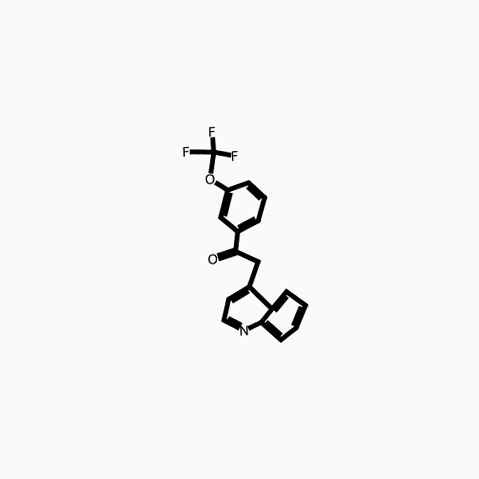 O=C(Cc1ccnc2ccccc12)c1cccc(OC(F)(F)F)c1